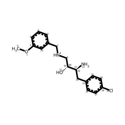 COc1cccc(CNC[C@@H](O)[C@@H](N)Cc2ccc(Cl)cc2)c1